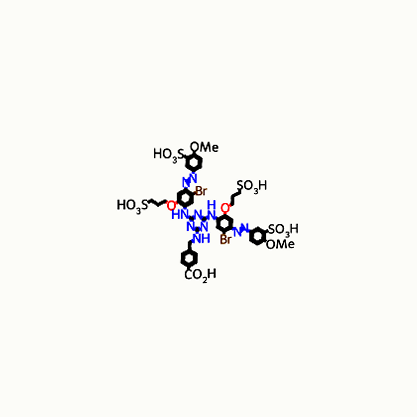 COc1ccc(N=Nc2cc(OCCCS(=O)(=O)O)c(Nc3nc(NCc4ccc(C(=O)O)cc4)nc(Nc4cc(Br)c(N=Nc5ccc(OC)c(S(=O)(=O)O)c5)cc4OCCCS(=O)(=O)O)n3)cc2Br)cc1S(=O)(=O)O